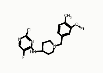 CCOc1cc(CN2CCC(Nc3nc(Cl)ncc3F)CC2)ccc1C